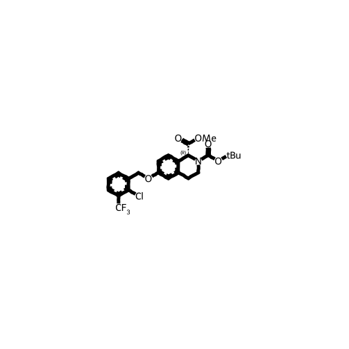 COC(=O)[C@H]1c2ccc(OCc3cccc(C(F)(F)F)c3Cl)cc2CCN1C(=O)OC(C)(C)C